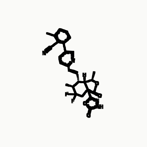 Cc1cccc(-c2ccc(C=C[C@@H]3[C@@H]4[C@@H](C)OC(=O)[C@]4(c4n[nH]c(=O)o4)CC(F)(F)[C@H]3C)nc2)c1C#N